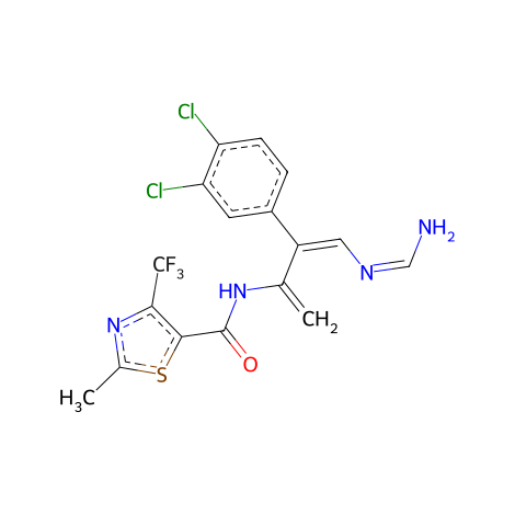 C=C(NC(=O)c1sc(C)nc1C(F)(F)F)/C(=C\N=C/N)c1ccc(Cl)c(Cl)c1